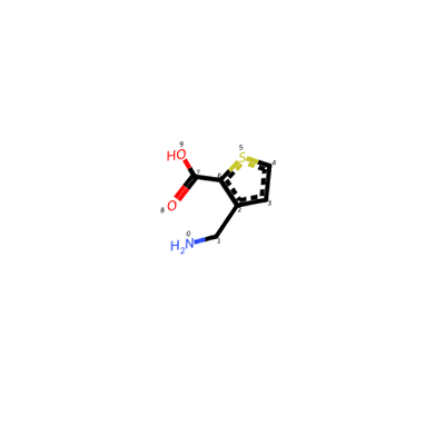 NCc1ccsc1C(=O)O